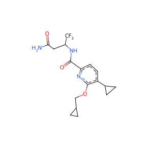 NC(=O)CC(NC(=O)c1ccc(C2CC2)c(OCC2CC2)n1)C(F)(F)F